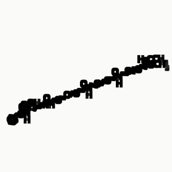 CC(C)(C)OC(=O)CCOCCOCCNC(=O)CCOCCOCCNC(=O)CCOCCOCCOCCC(=O)NCCCC[C@H](NC(=O)OCc1ccccc1)C(=O)O